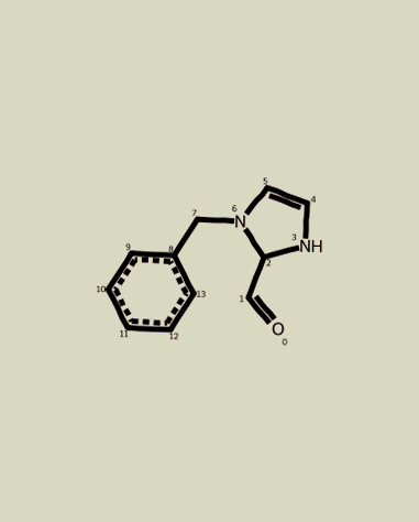 O=CC1NC=CN1Cc1ccccc1